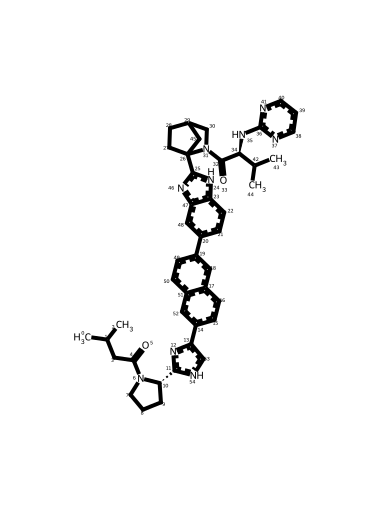 CC(C)CC(=O)N1CCC[C@H]1c1nc(-c2ccc3cc(-c4ccc5[nH]c(C67CCC(CN6C(=O)[C@@H](Nc6ncccn6)C(C)C)C7)nc5c4)ccc3c2)c[nH]1